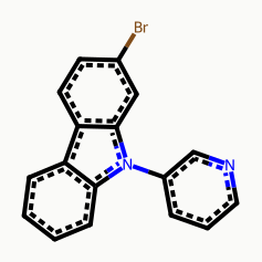 Brc1ccc2c3ccccc3n(-c3cccnc3)c2c1